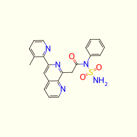 Cc1cccnc1-c1cc2cccnc2c(CC(=O)N(c2ccccc2)S(N)(=O)=O)n1